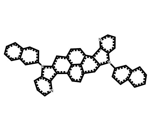 c1ccc2cc(-n3c4cccnc4c4c5ccc6cc7c(c8ccc(cc43)c5c68)c3ncccc3n7-c3ccc4ccccc4c3)ccc2c1